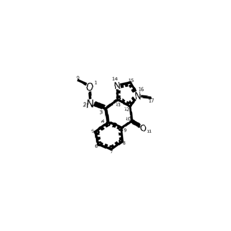 CO/N=C1/c2ccccc2C(=O)c2c1ncn2C